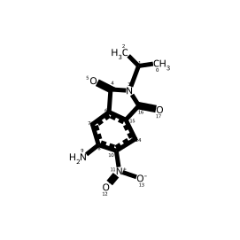 CC(C)N1C(=O)c2cc(N)c([N+](=O)[O-])cc2C1=O